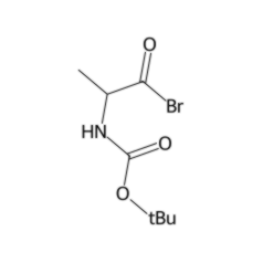 CC(NC(=O)OC(C)(C)C)C(=O)Br